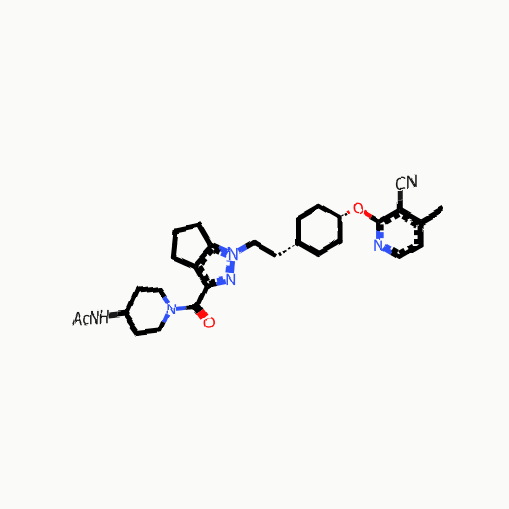 CC(=O)NC1CCN(C(=O)c2nn(CC[C@H]3CC[C@@H](Oc4nccc(C)c4C#N)CC3)c3c2CCC3)CC1